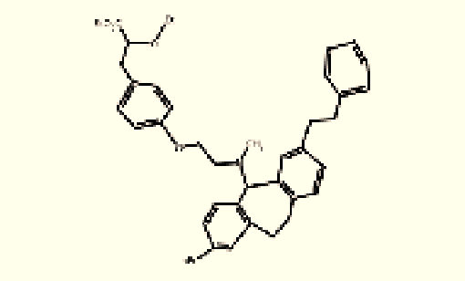 CCCc1ccc2c(c1)CCc1ccc(CCc3ccccc3)cc1C2N(C)CCOc1ccc(CC(OCC)C(=O)OCC)cc1